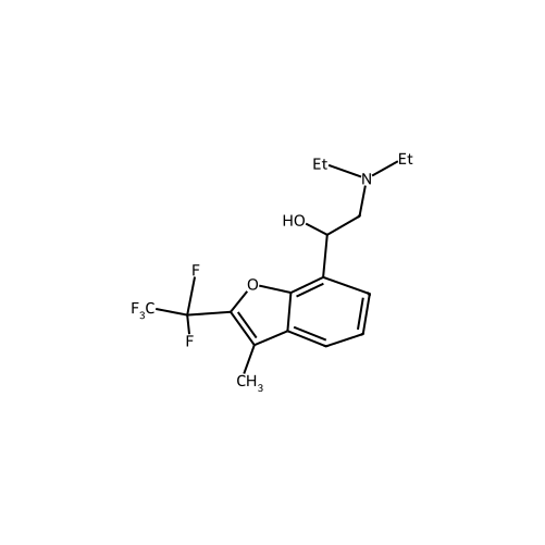 CCN(CC)CC(O)c1cccc2c(C)c(C(F)(F)C(F)(F)F)oc12